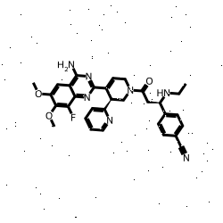 CCN[C@H](CC(=O)N1CC=C(c2nc(N)c3cc(OC)c(OC)c(F)c3n2)[C@H](c2ccccn2)C1)c1ccc(C#N)cc1